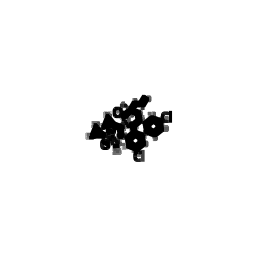 C=CC[C@@]1(C)C[C@H](c2cccc(Cl)c2)C(c2ccc(Cl)cc2)N(C(CN(C)S(=O)(=O)C2CC2)C2CC2)C1=O